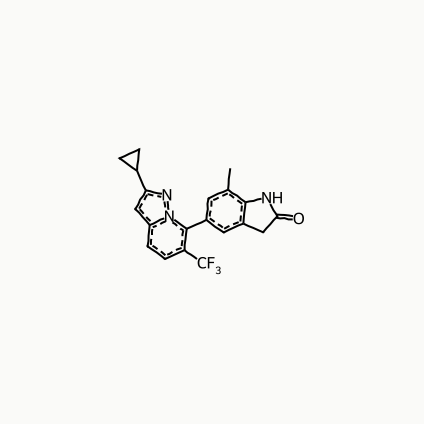 Cc1cc(-c2c(C(F)(F)F)ccc3cc(C4CC4)nn23)cc2c1NC(=O)C2